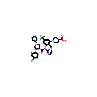 O=C(O)C1CCN(c2cc(C(F)(F)F)ccc2Cn2ccnc2NC(=O)[C@@H]2CN(C3CCCC3)C[C@H]2c2ccc(F)cc2F)CC1